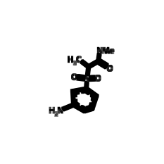 CNC(=O)C(C)S(=O)(=O)c1cccc(N)c1